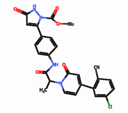 CC(C(=O)Nc1ccc(-c2cc(=O)[nH]n2C(=O)OC(C)(C)C)cc1)n1ccc(-c2cc(Cl)ccc2C#N)cc1=O